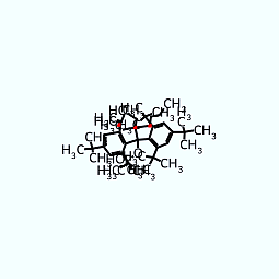 CCCCC(CC)(CO)C(OP(O)O)(c1c(C(C)(C)C)cc(C(C)(C)C)cc1C(C)(C)C)c1c(C(C)(C)C)cc(C(C)(C)C)cc1C(C)(C)C